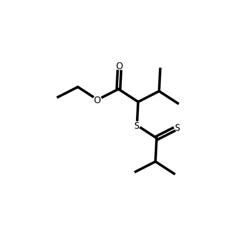 CCOC(=O)C(SC(=S)C(C)C)C(C)C